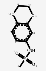 CS(=O)(=O)Nc1ccc2c(c1)OCCO2